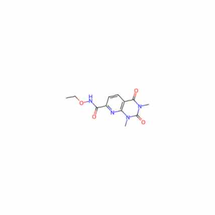 CCONC(=O)c1ccc2c(=O)n(C)c(=O)n(C)c2n1